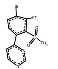 CS(=O)(=O)c1c(-c2ccncn2)ccc(Br)c1C(F)(F)F